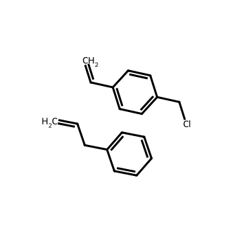 C=CCc1ccccc1.C=Cc1ccc(CCl)cc1